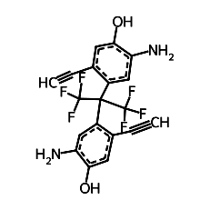 C#Cc1cc(O)c(N)cc1C(c1cc(N)c(O)cc1C#C)(C(F)(F)F)C(F)(F)F